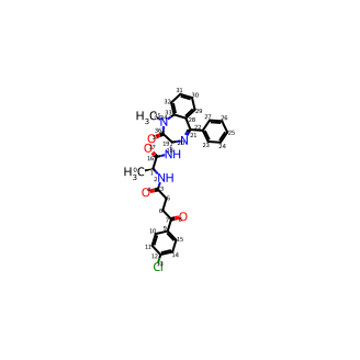 C[C@H](NC(=O)CCC(=O)c1ccc(Cl)cc1)C(=O)N[C@H]1N=C(c2ccccc2)c2ccccc2N(C)C1=O